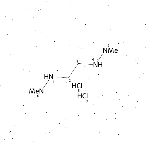 CNNCCNNC.Cl.Cl